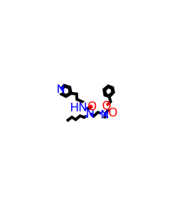 CCCCCN(CCN(C)C(=O)OCc1ccccc1)C(=O)NCCCc1ccncc1